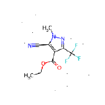 CCOC(=O)c1c(C(F)(F)F)nn(C)c1C#N